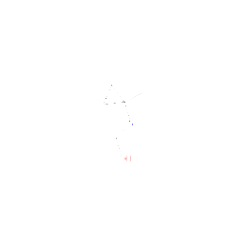 CC1(NCO)CC1